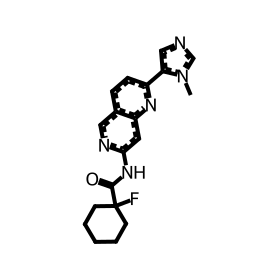 Cn1cncc1-c1ccc2cnc(NC(=O)C3(F)CCCCC3)cc2n1